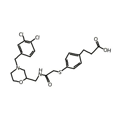 O=C(O)CCc1ccc(SCC(=O)NCC2CN(Cc3ccc(Cl)c(Cl)c3)CCO2)cc1